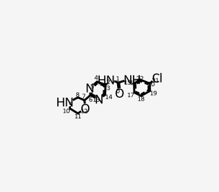 O=C(Nc1cnc(C2CNCCO2)nc1)Nc1cccc(Cl)c1